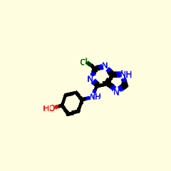 OC1CCC(Nc2nc(Cl)nc3[nH]cnc23)CC1